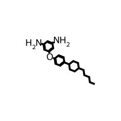 CCCCCC1CCC(c2ccc(Oc3cc(N)cc(N)c3)cc2)CC1